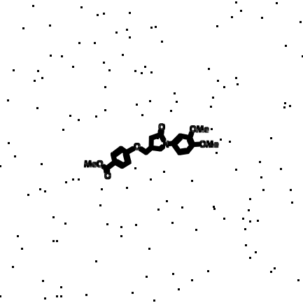 COC(=O)c1ccc(OCC2CC(=O)N(c3ccc(OC)c(OC)c3)C2)cc1